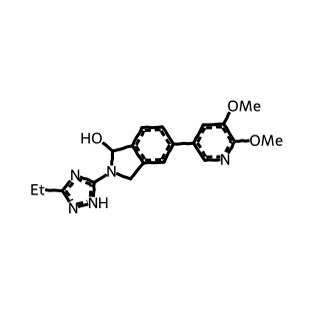 CCc1n[nH]c(N2Cc3cc(-c4cnc(OC)c(OC)c4)ccc3C2O)n1